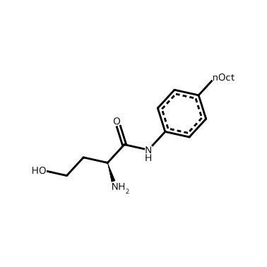 CCCCCCCCc1ccc(NC(=O)[C@@H](N)CCO)cc1